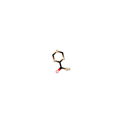 O=C(S)C1SCSCS1